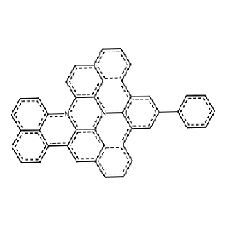 c1ccc(-c2cc3c4cccc5ccc6c(c54)n4c3c(c2)c2cccc3cc5c7cccc8cccc(c87)n6c5c4c32)cc1